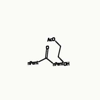 CC(=O)OCCO.CCCCCC(=O)CCCCC